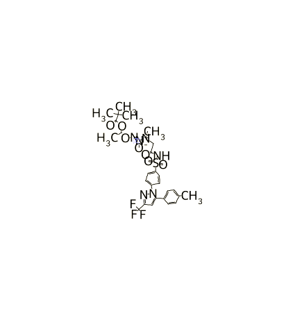 Cc1ccc(-c2cc(C(F)(F)F)nn2-c2ccc(S(=O)(=O)NC(=O)CN(C)/[N+]([O-])=N/OC(C)OC(=O)C(C)(C)C)cc2)cc1